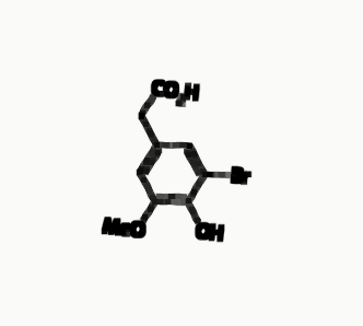 COc1cc(CC(=O)O)cc(Br)c1O